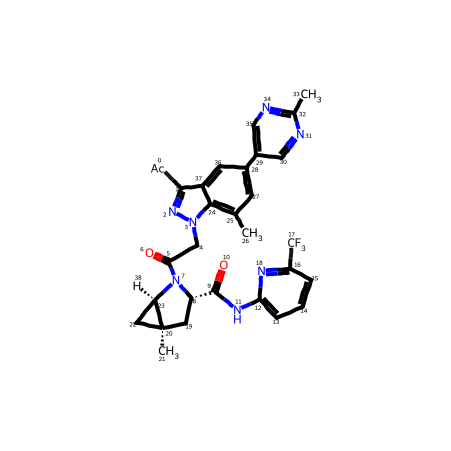 CC(=O)c1nn(CC(=O)N2[C@H](C(=O)Nc3cccc(C(F)(F)F)n3)C[C@@]3(C)C[C@@H]23)c2c(C)cc(-c3cnc(C)nc3)cc12